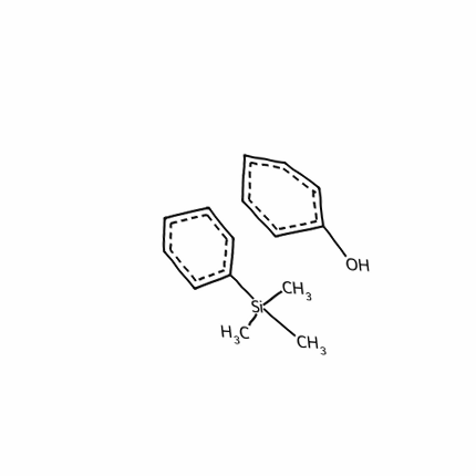 C[Si](C)(C)c1ccccc1.Oc1ccccc1